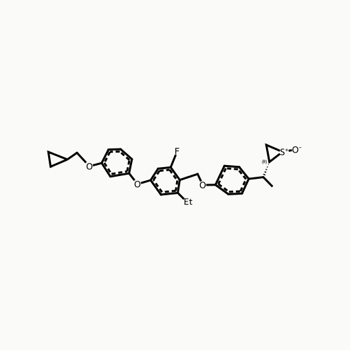 CCc1cc(Oc2cccc(OCC3CC3)c2)cc(F)c1COc1ccc(C(C)[C@@H]2C[S+]2[O-])cc1